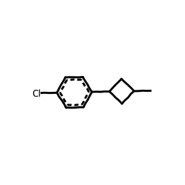 CC1CC(c2ccc(Cl)cc2)C1